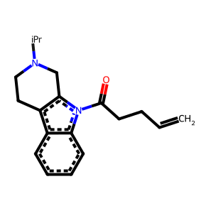 C=CCCC(=O)n1c2c(c3ccccc31)CCN(C(C)C)C2